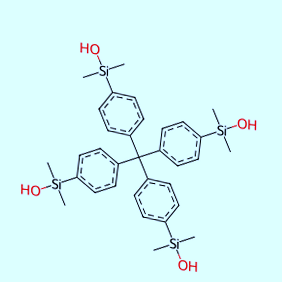 C[Si](C)(O)c1ccc(C(c2ccc([Si](C)(C)O)cc2)(c2ccc([Si](C)(C)O)cc2)c2ccc([Si](C)(C)O)cc2)cc1